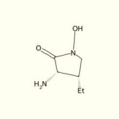 CC[C@H]1CN(O)C(=O)[C@H]1N